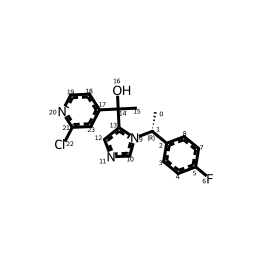 C[C@H](c1ccc(F)cc1)n1cncc1C(C)(O)c1ccnc(Cl)c1